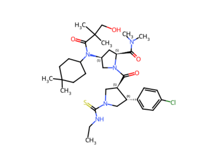 CCNC(=S)N1C[C@@H](C(=O)N2C[C@@H](N(C(=O)C(C)(C)CO)C3CCC(C)(C)CC3)C[C@H]2C(=O)N(C)C)[C@H](c2ccc(Cl)cc2)C1